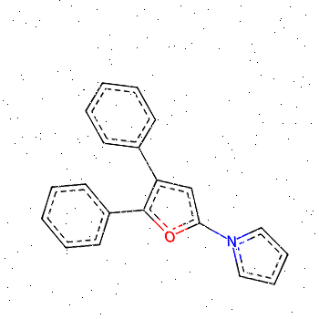 c1ccc(-c2cc(-n3cccc3)oc2-c2ccccc2)cc1